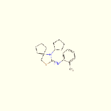 FC(F)(F)c1ccccc1/N=C1/SCC2(CCCC2)N1C1CCCC1